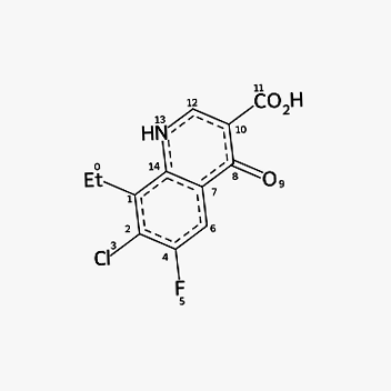 CCc1c(Cl)c(F)cc2c(=O)c(C(=O)O)c[nH]c12